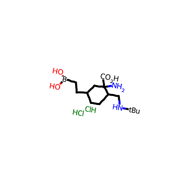 CC(C)(C)NCC1CCC(CCB(O)O)CC1(N)C(=O)O.Cl.Cl